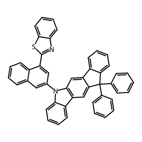 c1ccc(C2(c3ccccc3)c3ccccc3-c3cc4c(cc32)c2ccccc2n4-c2cc(-c3nc4ccccc4s3)c3ccccc3c2)cc1